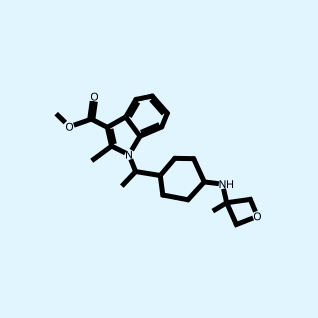 COC(=O)c1c(C)n(C(C)C2CCC(NC3(C)COC3)CC2)c2ccccc12